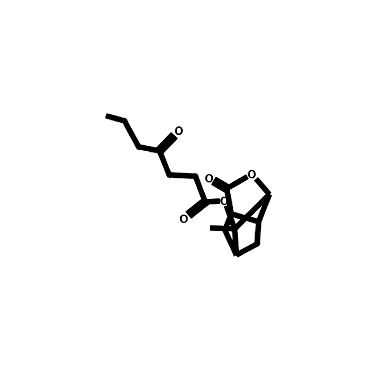 CCCC(=O)CCC(=O)OC1(C)C2CC3C(=O)OC1C3C2